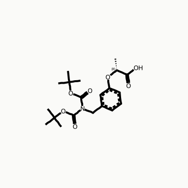 C[C@@H](Oc1cccc(CN(C(=O)OC(C)(C)C)C(=O)OC(C)(C)C)c1)C(=O)O